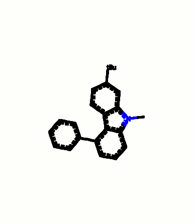 Cn1c2cc(C(C)(C)C)ccc2c2c(-c3ccccc3)cccc21